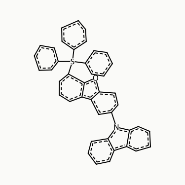 c1ccc(S(c2ccccc2)(c2ccccc2)c2cccc3c2oc2ccc(-n4c5ccccc5c5ccccc54)cc23)cc1